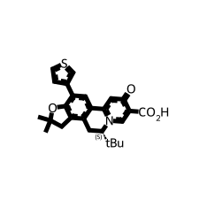 CC1(C)Cc2c3c(cc(-c4ccsc4)c2O1)-c1cc(=O)c(C(=O)O)cn1[C@H](C(C)(C)C)C3